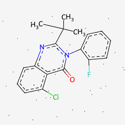 CC(C)(C)c1nc2cccc(Cl)c2c(=O)n1-c1ccccc1F